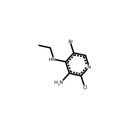 CCNc1c(Br)cnc(Cl)c1N